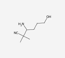 CC(C)(C#N)C(N)CCCO